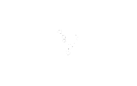 CC(=O)c1nn2c3c(cc(-c4cnc(C)nc4)cc13)CCCCC[C@H](C)C(=O)N(C)C[C@]1(C)C[C@@H](C(=O)Nc3nc(C(F)(F)F)ccc3C)N(C1)C(=O)C2